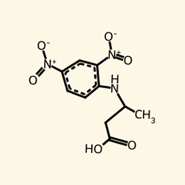 CC(CC(=O)O)Nc1ccc([N+](=O)[O-])cc1[N+](=O)[O-]